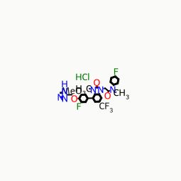 COc1cc(-c2cc(C(F)(F)F)cc3c2n(C)c(=O)n3CC(=O)N(C)c2ccc(F)cc2)cc(F)c1OCc1nnc[nH]1.Cl